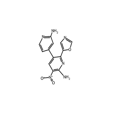 Nc1cc(-c2cc([N+](=O)[O-])c(N)nc2-c2cnco2)ccn1